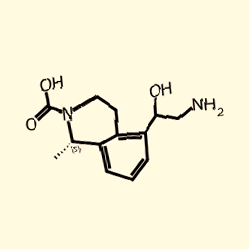 C[C@H]1c2cccc(C(O)CN)c2CCN1C(=O)O